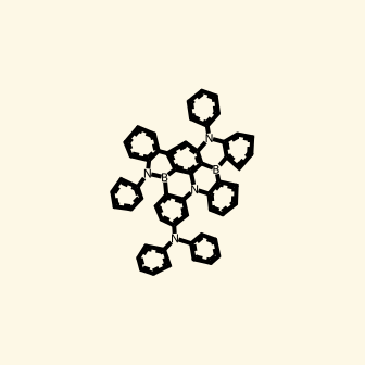 c1ccc(N2B3c4ccc(N(c5ccccc5)c5ccccc5)cc4N4c5ccccc5B5c6ccccc6N(c6ccccc6)c6cc(c3c4c65)-c3ccccc32)cc1